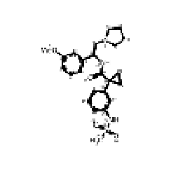 COc1cccc(C(CN2CCCC2)NC(=O)C2(c3cccc(NS(C)(=O)=O)c3)CC2)c1